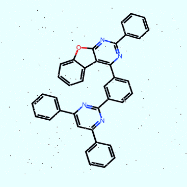 c1ccc(-c2cc(-c3ccccc3)nc(-c3cccc(-c4nc(-c5ccccc5)nc5oc6ccccc6c45)c3)n2)cc1